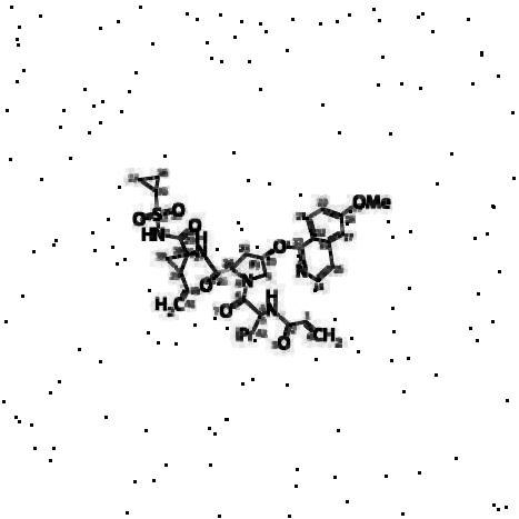 C=CC(=O)NC(C(=O)N1C[C@H](Oc2nccc3cc(OC)ccc23)C[C@H]1C(=O)N[C@]1(C(=O)NS(=O)(=O)C2CC2)CC1C=C)C(C)C